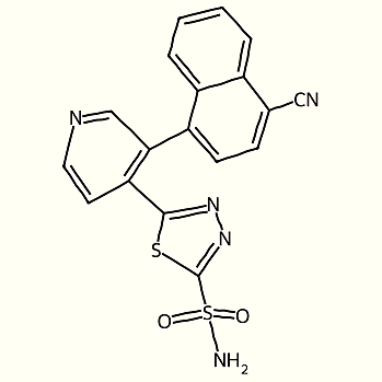 N#Cc1ccc(-c2cnccc2-c2nnc(S(N)(=O)=O)s2)c2ccccc12